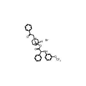 O=C(C[N+]12CCC(CC1)[C@@H](OC(=O)C(Nc1cccc(OC(F)(F)F)c1)c1ccccc1)C2)c1ccccc1.[Br-]